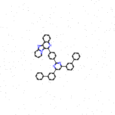 c1ccc(-c2cccc(-c3cc(-c4cccc(-c5ccccc5)c4)nc(-c4ccc(-c5nc6ccccc6c6nc7ccccn7c56)cc4)n3)c2)cc1